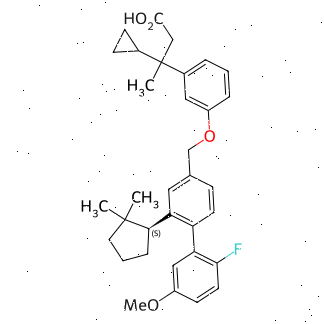 COc1ccc(F)c(-c2ccc(COc3cccc(C(C)(CC(=O)O)C4CC4)c3)cc2[C@H]2CCCC2(C)C)c1